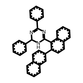 c1ccc(C2=NC(c3ccccc3)NC(c3c(-c4ccc5ccccc5c4)ccc4ccccc34)=N2)cc1